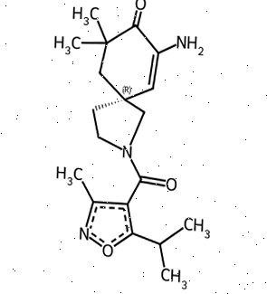 Cc1noc(C(C)C)c1C(=O)N1CC[C@]2(C=C(N)C(=O)C(C)(C)C2)C1